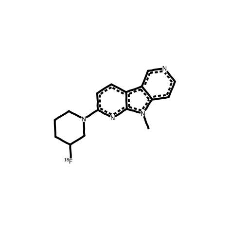 Cn1c2ccncc2c2ccc(N3CCCC([18F])C3)nc21